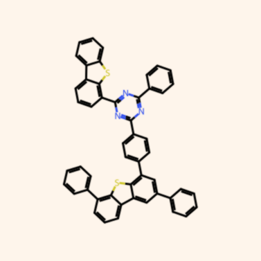 c1ccc(-c2cc(-c3ccc(-c4nc(-c5ccccc5)nc(-c5cccc6c5sc5ccccc56)n4)cc3)c3sc4c(-c5ccccc5)cccc4c3c2)cc1